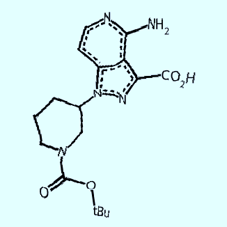 CC(C)(C)OC(=O)N1CCCC(n2nc(C(=O)O)c3c(N)nccc32)C1